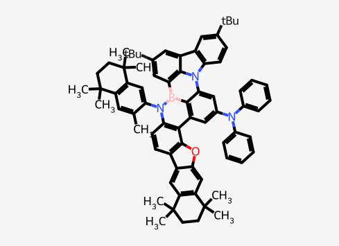 Cc1cc2c(cc1N1B3c4c(cc(N(c5ccccc5)c5ccccc5)cc4-n4c5ccc(C(C)(C)C)cc5c5cc(C(C)(C)C)cc3c54)-c3c1ccc1c3oc3cc4c(cc31)C(C)(C)CCC4(C)C)C(C)(C)CCC2(C)C